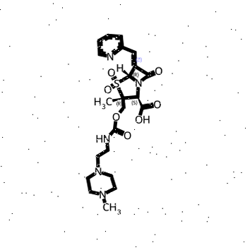 CN1CCN(CCNC(=O)OC[C@@]2(C)[C@H](C(=O)O)N3C(=O)/C(=C/c4ccccn4)[C@H]3S2(=O)=O)CC1